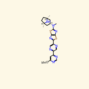 COc1cc(-c2cnc(-c3nc4sc(N(C)[C@H]5C[C@]6(C)CC[C@](C)(C5)N6)nc4s3)cn2)ncn1